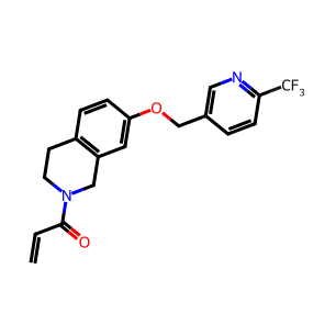 C=CC(=O)N1CCc2ccc(OCc3ccc(C(F)(F)F)nc3)cc2C1